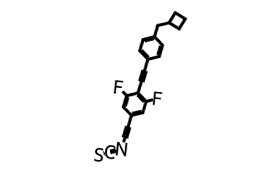 Fc1cc(C#CN=C=S)cc(F)c1C#Cc1ccc(CC2CCC2)cc1